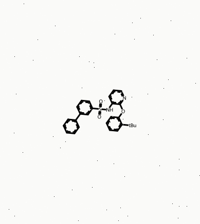 CC(C)(C)c1ccccc1Oc1ncccc1NS(=O)(=O)c1cccc(-c2ccccc2)c1